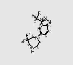 FC1(F)CNCCN(c2ccc3nnc(C(F)(F)F)n3n2)C1